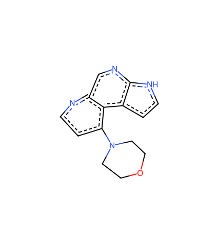 c1cc(N2CCOCC2)c2c(cnc3[nH]ccc32)n1